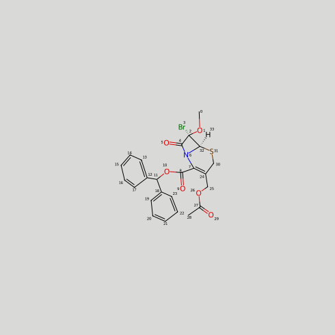 CO[C@]1(Br)C(=O)N2C(C(=O)OC(c3ccccc3)c3ccccc3)=C(COC(C)=O)CS[C@@H]21